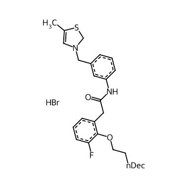 Br.CCCCCCCCCCCCOc1c(F)cccc1CC(=O)Nc1cccc(CN2C=C(C)SC2)c1